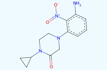 Nc1cccc(N2CCN(C3CC3)C(=O)C2)c1[N+](=O)[O-]